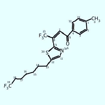 Cc1ccc(C(=O)C=C(c2ncc(CCCCCCC(F)(F)F)s2)C(F)(F)F)cc1